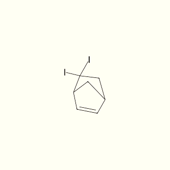 IC1(I)CC2C=CC1C2